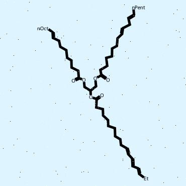 CC/C=C/C=C/C=C/CCCCCCCCCC(=O)OC(COC(=O)CCCCCCC/C=C/C/C=C/CCCCC)COC(=O)CCCCCCC/C=C/CCCCCCCC